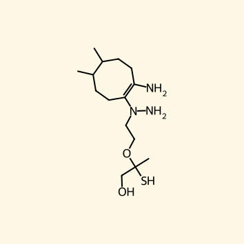 CC1CC/C(N)=C(/N(N)CCOC(C)(S)CO)CCC1C